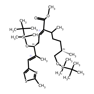 COC(=O)/C(=C/C[C@H](O[Si](C)(C)C(C)(C)C)/C(C)=C/c1csc(C)n1)C(C)CC[C@H](C)CO[Si](C)(C)C(C)(C)C